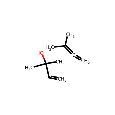 C=C=C(C)C.C=CC(C)(C)O